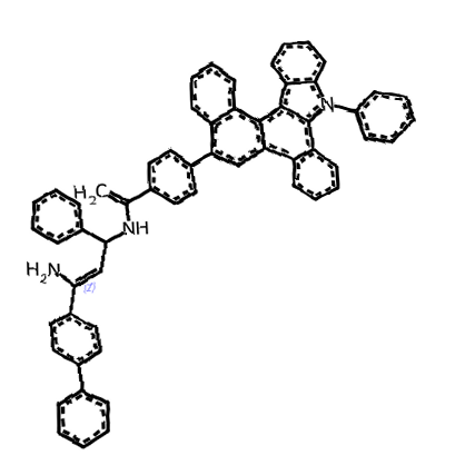 C=C(NC(/C=C(\N)c1ccc(-c2ccccc2)cc1)c1ccccc1)c1ccc(-c2cc3c4ccccc4c4c(c5ccccc5n4-c4ccccc4)c3c3ccccc23)cc1